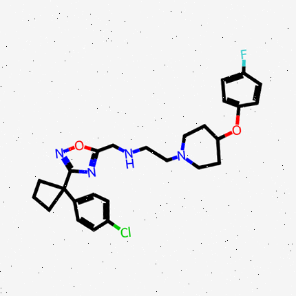 Fc1ccc(OC2CCN(CCNCc3nc(C4(c5ccc(Cl)cc5)CCC4)no3)CC2)cc1